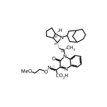 COCCO/N=C(\C(=O)O)c1nc2ccccc2n([C@@H](C)C[C@@H]2C3CCC[C@H]3N2C2CC3CCCC(C3)C2)c1=O